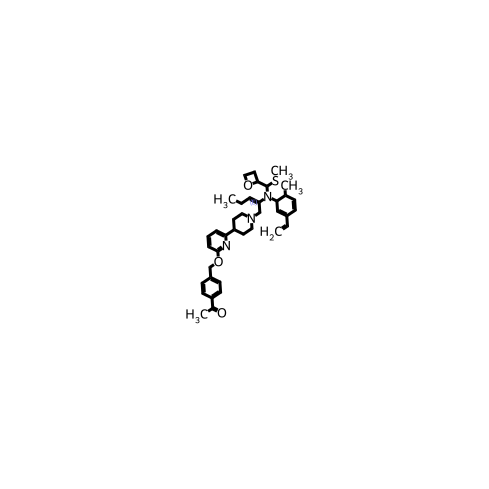 C=CC1=CC(N(/C(=C/CC)CN2CCC(c3cccc(OCc4ccc(C(C)=O)cc4)n3)CC2)C(SC)C2CCO2)C(C)C=C1